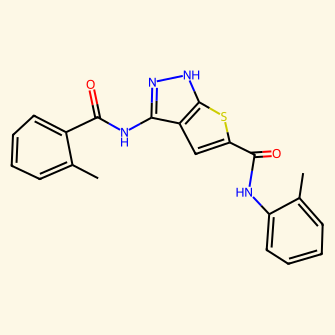 Cc1ccccc1NC(=O)c1cc2c(NC(=O)c3ccccc3C)n[nH]c2s1